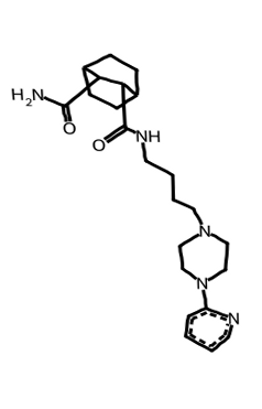 NC(=O)C1C2CCC(CC2)C1C(=O)NCCCCN1CCN(c2ccccn2)CC1